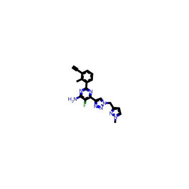 C#Cc1cccc(-c2nc(N)c(F)c(-c3cn(Cc4ccn(C)n4)nn3)n2)c1C